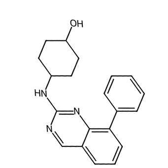 OC1CCC(Nc2ncc3cccc(-c4ccccc4)c3n2)CC1